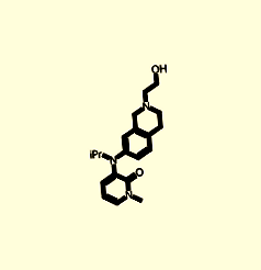 CC(C)N(c1ccc2c(c1)CN(CCO)CC2)c1cccn(C)c1=O